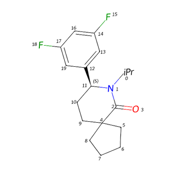 CC(C)N1C(=O)C2(CCCC2)CC[C@H]1c1cc(F)cc(F)c1